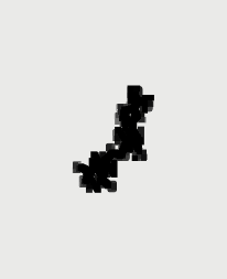 Cc1ncc(C)n2nc(C=Cc3nc(N4CCC(C(F)F)C4)nn3C)nc12